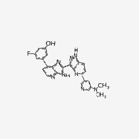 CN(C)c1cncc(-c2ccc3[nH]nc(-c4nc5c(-c6cc(O)cc(F)c6)ccnc5[nH]4)c3n2)c1